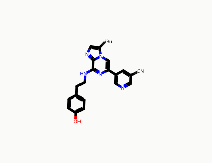 CCC(C)c1cnc2c(NCCc3ccc(O)cc3)nc(-c3cncc(C#N)c3)cn12